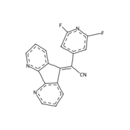 N#CC(=C1c2cccnc2-c2ncccc21)c1cc(F)nc(F)c1